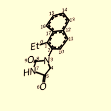 CCc1c(N2CC(=O)NC2=O)ccc2ccccc12